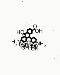 Nc1ccc2c(c1S(=O)(=O)O)Oc1c(ccc(N)c1S(=O)(=O)O)C2c1cc(C(=O)O)ccc1C(=O)O